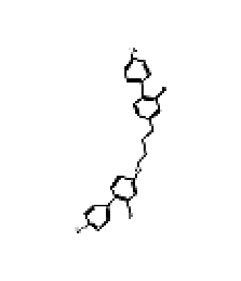 N#Cc1ccc(-c2ccc(CCCCOc3ccc(-c4ccc(C#N)cc4)c(F)c3)cc2F)cc1